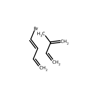 C=CC(=C)C.C=CC=CBr